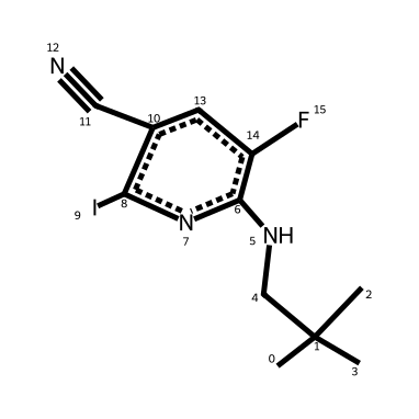 CC(C)(C)CNc1nc(I)c(C#N)cc1F